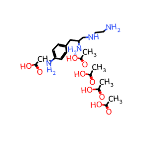 CC(=O)O.CC(=O)O.CC(=O)O.CC(=O)O.CC(=O)O.NCCNCC(N)Cc1ccc(N)cc1